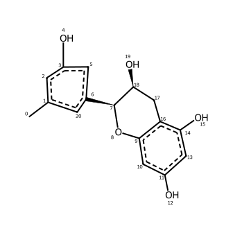 Cc1cc(O)cc([C@@H]2Oc3cc(O)cc(O)c3C[C@@H]2O)c1